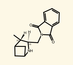 C[C@H]1C2CC(C2)N[C@@H]1CN1C(=O)c2ccccc2C1=O